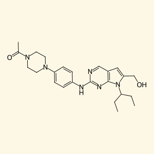 CCC(CC)n1c(CO)cc2cnc(Nc3ccc(N4CCN(C(C)=O)CC4)cc3)nc21